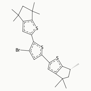 C[C@@H]1CC(C)(C)c2cc(-c3cc(Br)c(-c4cc5c(s4)C(C)(C)CC5(C)C)s3)sc21